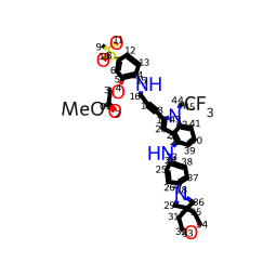 COC(=O)COc1cc(S(C)(=O)=O)ccc1NCC#Cc1cc2c(Nc3ccc(N4CC5(CCOCC5)C4)cc3)cccc2n1CC(F)(F)F